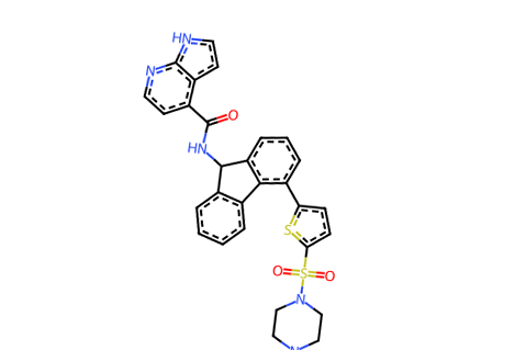 O=C(NC1c2ccccc2-c2c(-c3ccc(S(=O)(=O)N4CCNCC4)s3)cccc21)c1ccnc2[nH]ccc12